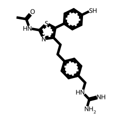 CC(=O)Nc1nc(CCc2ccc(CNC(=N)N)cc2)c(-c2ccc(S)cc2)s1